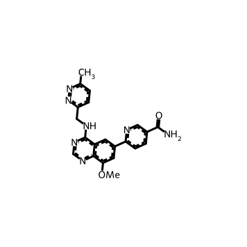 COc1cc(-c2ccc(C(N)=O)cn2)cc2c(NCc3ccc(C)nn3)ncnc12